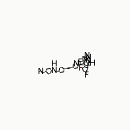 CN(C)Cc1ccc(NCc2ccc(C#Cc3ccc(C(F)(F)C(O)(Cn4cnnn4)c4ccc(F)cc4F)nc3)cc2)cc1